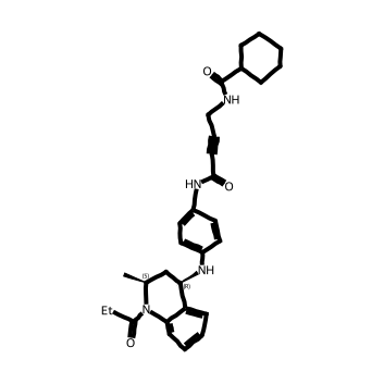 CCC(=O)N1c2ccccc2[C@H](Nc2ccc(NC(=O)C#CCNC(=O)C3CCCCC3)cc2)C[C@@H]1C